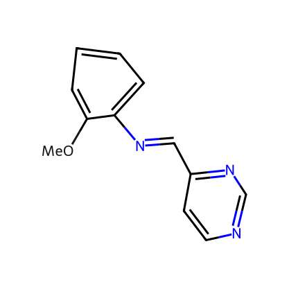 COc1ccccc1N=Cc1ccncn1